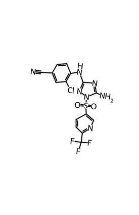 N#Cc1ccc(Nc2nc(N)n(S(=O)(=O)c3ccc(C(F)(F)F)nc3)n2)c(Cl)c1